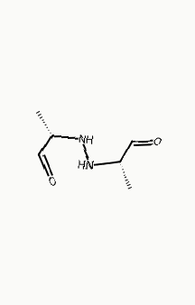 C[C@@H](C=O)NN[C@@H](C)C=O